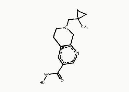 CC1(CN2CCc3cc(C(=O)NO)cnc3C2)CC1